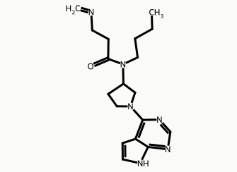 C=NCCC(=O)N(CCCC)C1CCN(c2ncnc3[nH]ccc23)C1